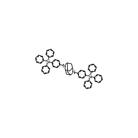 c1ccc([Si](c2ccccc2)(c2ccccc2)c2ccc(N3C4CC5CC3CC(C4)N5c3ccc([Si](c4ccccc4)(c4ccccc4)c4ccccc4)cc3)cc2)cc1